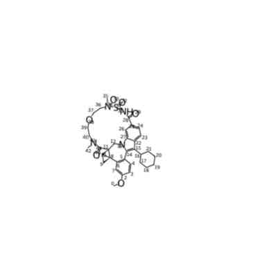 COc1ccc2c(c1)[C@]13CC1[C@@]31Cn3c-2c(C2CCCCC2)c2ccc(cc23)C(=O)NS(=O)(=O)N(C)CCOCCN(C)C1=O